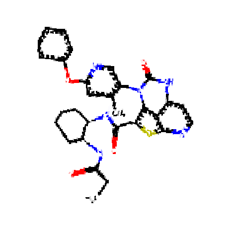 CCC(=O)N[C@H]1CCCC[C@H]1NC(=O)c1sc2nccc3c2c1N(c1cnc(Oc2ccccc2)cc1C)C(=O)N3